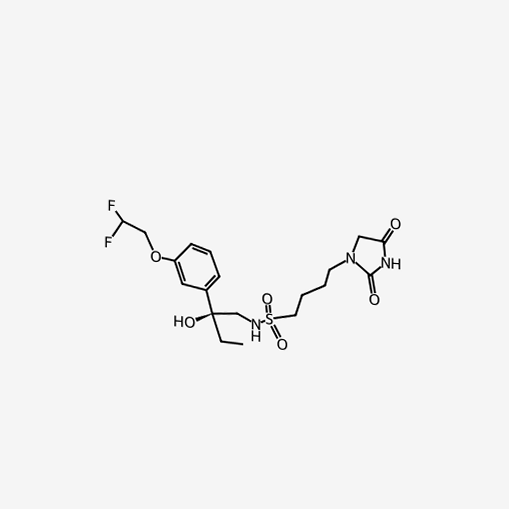 CC[C@@](O)(CNS(=O)(=O)CCCCN1CC(=O)NC1=O)c1cccc(OCC(F)F)c1